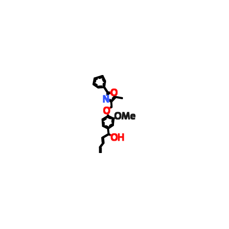 C=CC=CC(O)c1ccc(OCc2nc(-c3ccccc3)oc2C)c(OC)c1